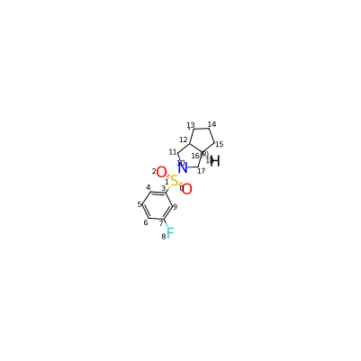 O=S(=O)(c1cccc(F)c1)N1CC2[CH]CC[C@H]2C1